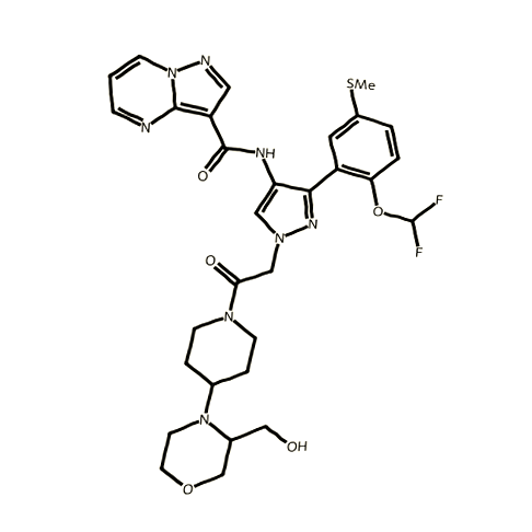 CSc1ccc(OC(F)F)c(-c2nn(CC(=O)N3CCC(N4CCOCC4CO)CC3)cc2NC(=O)c2cnn3cccnc23)c1